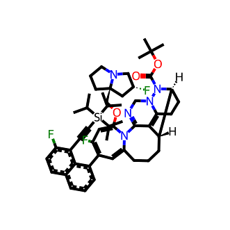 CC(C)[Si](C#Cc1c(F)ccc2cccc(C3=C(F)C=C(OC[C@@]45CCCN4C[C@H](F)C5)N4C(=C3)CCC[C@@H]3C5=C6CC[C@@H]3N(C(=O)OC(C)(C)C)N6CN=C54)c12)(C(C)C)C(C)C